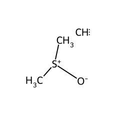 C[S+](C)[O-].[CH]